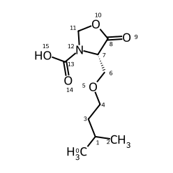 CC(C)CCOC[C@H]1C(=O)OCN1C(=O)O